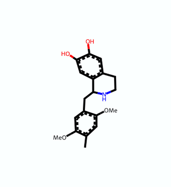 COc1cc(CC2NCCc3cc(O)c(O)cc32)c(OC)cc1C